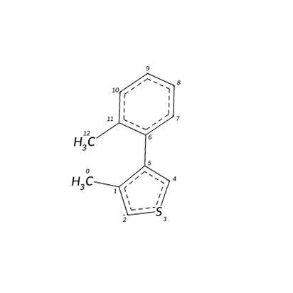 Cc1[c]scc1-c1ccccc1C